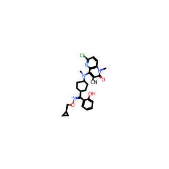 CN(c1c(C#N)c(=O)n(C)c2ccc(Cl)nc12)C1CCC(/C(=N/OCC2CC2)c2ccccc2O)CC1